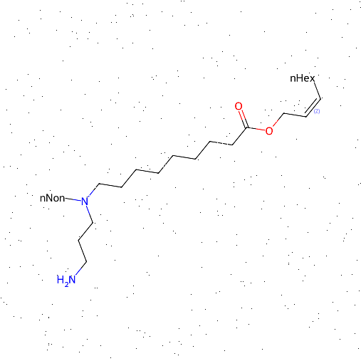 CCCCCC/C=C\COC(=O)CCCCCCCCN(CCCN)CCCCCCCCC